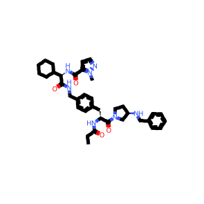 CCC(=O)N[C@H](Cc1ccc(CNC(=O)[C@@H](NC(=O)c2ccnn2C)C2CCCCC2)cc1)C(=O)N1CC[C@@H](NCc2ccccc2)C1